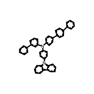 c1ccc(-c2ccc(-c3ccc(N(c4ccc(-n5c6ccccc6c6ccccc65)cc4)c4cccc(-c5ccccc5)c4)cc3)cc2)cc1